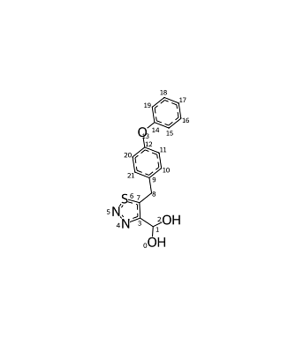 OC(O)c1nnsc1Cc1ccc(Oc2ccccc2)cc1